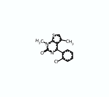 Cc1csc2c1c(-c1ccccc1Cl)nc(=O)n2C